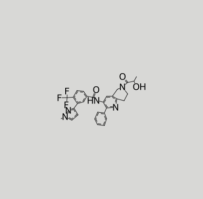 CC(O)C(=O)N1CCc2nc(-c3ccccc3)c(NC(=O)c3ccc(C(F)(F)F)c(-c4ccn(C)n4)c3)cc2C1